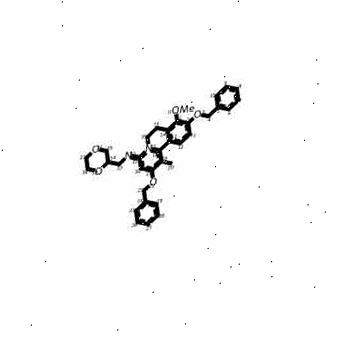 COc1c(OCc2ccccc2)ccc2c1CCn1c-2c(C)c(OCc2ccccc2)cc1=NCC1COCCO1